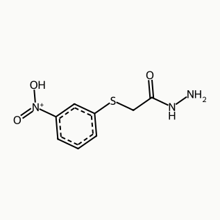 NNC(=O)CSc1cccc([N+](=O)O)c1